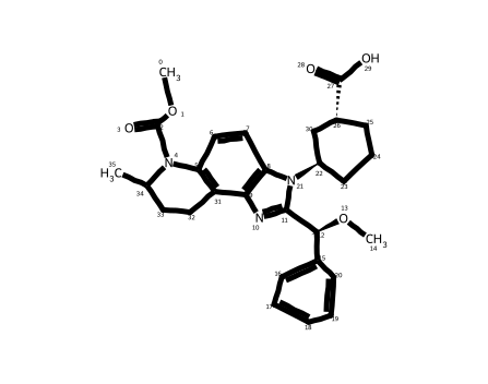 COC(=O)N1c2ccc3c(nc([C@@H](OC)c4ccccc4)n3[C@@H]3CCC[C@@H](C(=O)O)C3)c2CCC1C